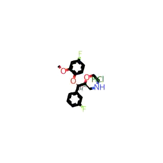 COc1cc(F)ccc1O[C@@H](c1cccc(F)c1)[C@@H]1CNCCO1.Cl